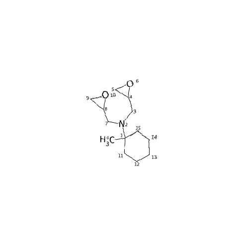 CC1(N(CC2CO2)CC2CO2)CCCCC1